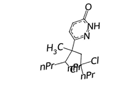 CCCC(CCC)C(C)(CC(Cl)(Cl)CCC)c1ccc(=O)[nH]n1